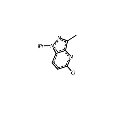 Cc1nn(C(C)C)c2ccc(Cl)nc12